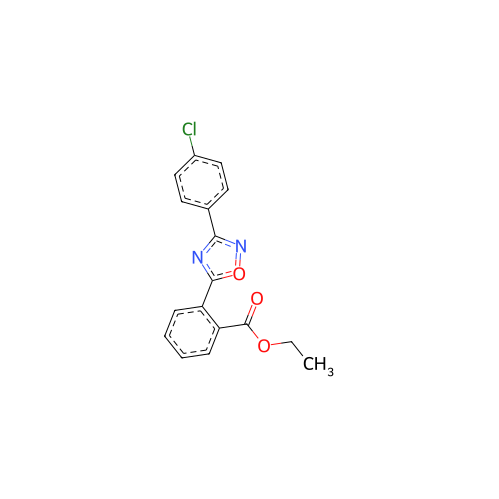 CCOC(=O)c1ccccc1-c1nc(-c2ccc(Cl)cc2)no1